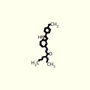 C=C/C=C/C(=C\C=C)C(=O)/C=C/C1=Cc2cc(-c3ccc(C=C)cc3)[nH]c2C=C=C1